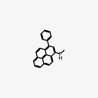 CPc1cc(-c2ccccc2)c2ccc3cccc4ccc1c2c43